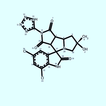 C[C@]1(O)CC2C3C(=O)N(c4nnn[nH]4)C(=O)C3C3(C(=O)Nc4c(Cl)cc(Cl)cc43)N2C1